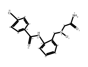 NC(=O)C[S+]([O-])Cc1ccccc1NC(=O)c1ccc(Cl)cc1